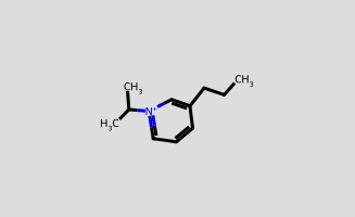 CCCc1ccc[n+](C(C)C)c1